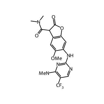 CNc1nc(Nc2cc3c(cc2OC)C(C(=O)N(C)C)C(=O)O3)ncc1C(F)(F)F